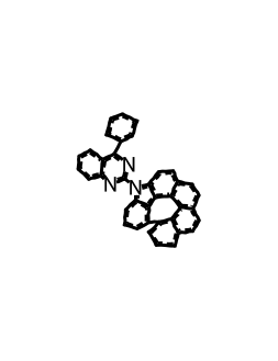 c1ccc(-c2nc(-n3c4cccc5c4c4c6c(ccc7ccc8cccc-5c8c76)ccc43)nc3ccccc23)cc1